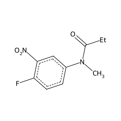 CCC(=O)N(C)c1ccc(F)c([N+](=O)[O-])c1